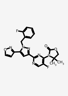 CC1(C)COC(=O)N1c1nc(-c2cc(-c3ccon3)n(Cc3ccccc3F)n2)ncc1F